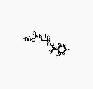 CC(C)(C)OC(=O)NCC(=O)OCC(=O)c1ccccc1F